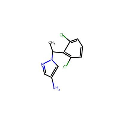 CC(c1c(Cl)cccc1Cl)n1cc(N)cn1